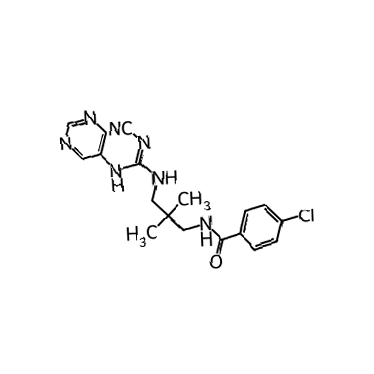 CC(C)(CNC(=O)c1ccc(Cl)cc1)CNC(=NC#N)Nc1cncnc1